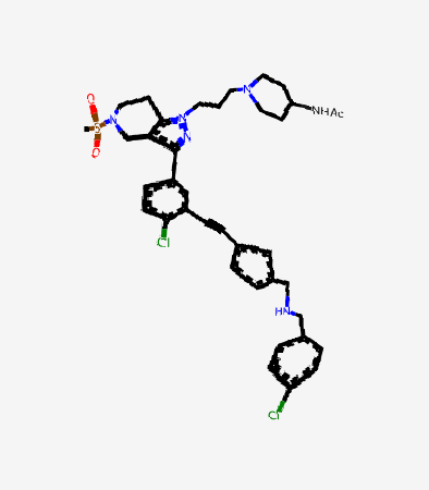 CC(=O)NC1CCN(CCCn2nc(-c3ccc(Cl)c(C#Cc4ccc(CNCc5ccc(Cl)cc5)cc4)c3)c3c2CCN(S(C)(=O)=O)C3)CC1